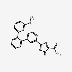 NC(=O)c1nc(-c2cccc(-c3ccccc3-c3cccc(OC(F)(F)F)c3)c2)n[nH]1